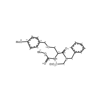 CCOC(=O)CN(Cc1ccccc1)C(=O)C(COCc1ccc(OC)cc1)NC(=O)OC(C)(C)C